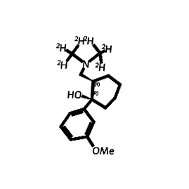 [2H]C([2H])([2H])N(C[C@H]1CCCC[C@]1(O)c1cccc(OC)c1)C([2H])([2H])[2H]